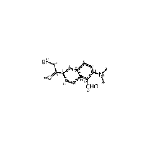 CN(C)c1ccc2cc(C(=O)CBr)ccc2c1C=O